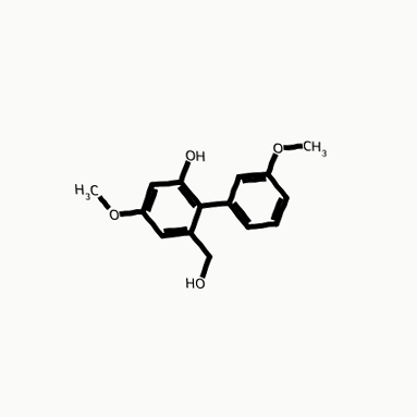 COc1cccc(-c2c(O)cc(OC)cc2CO)c1